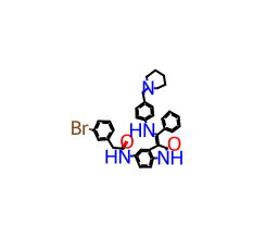 O=C(Cc1cccc(Br)c1)Nc1ccc2c(c1)C(=C(Nc1ccc(CN3CCCCC3)cc1)c1ccccc1)C(=O)N2